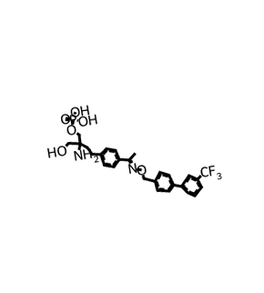 C/C(=N\OCc1ccc(-c2cccc(C(F)(F)F)c2)cc1)c1ccc(CCC(N)(CO)COP(=O)(O)O)cc1